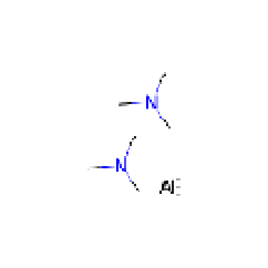 CN(C)C.CN(C)C.[Al]